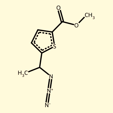 COC(=O)c1ccc(C(C)N=[N+]=[N-])s1